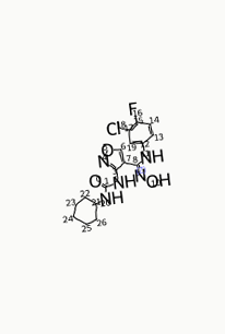 O=C(Nc1nocc1/C(=N/O)Nc1ccc(F)c(Cl)c1)NC1CCCCC1